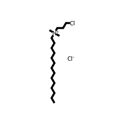 CCCCCCCCCCCCCC[N+](C)(C)CCCCl.[Cl-]